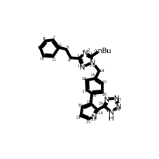 CCCCc1nc(CCc2ccccc2)nn1Cc1ccc(-c2cccnc2-c2nnn[nH]2)cc1